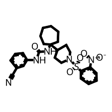 N#Cc1cccc(NC(=O)NC2(C3CCN(S(=O)(=O)c4ccccc4[N+](=O)[O-])CC3)CCCCCC2)c1